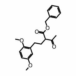 COc1ccc(OC)c(CCC(C(C)=O)C(=O)OCc2ccccc2)c1